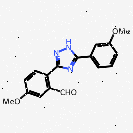 COc1cccc(-c2nc(-c3ccc(OC)cc3C=O)n[nH]2)c1